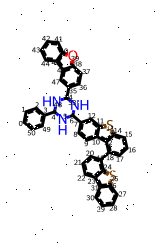 c1ccc(C2NC(c3ccc4c(c3)sc3cccc(-c5cccc6c5sc5ccccc56)c34)NC(c3ccc4oc5ccccc5c4c3)N2)cc1